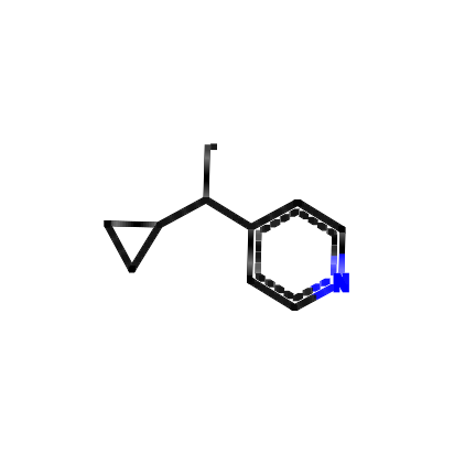 [CH2]C(c1ccncc1)C1CC1